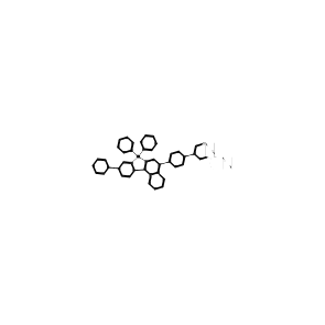 N#Cc1cc(-c2ccc(-c3cc4c(c5ccccc35)-c3ccc(-c5ccccc5)cc3C4(c3ccccc3)c3ccccc3)cc2)ccn1